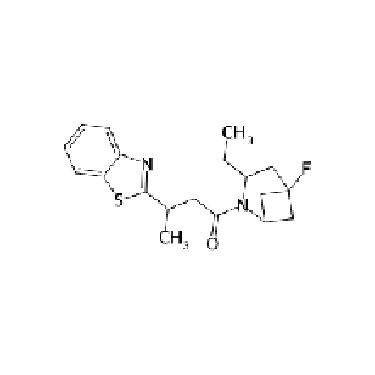 CCC1CC2(F)CC(C2)N1C(=O)CC(C)c1nc2ccccc2s1